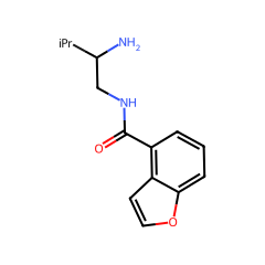 CC(C)C(N)CNC(=O)c1cccc2occc12